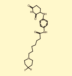 O=C1CCC(Nc2ccc(NC(=O)CCCCCCN3CCC(F)(F)CC3)cc2)C(=O)N1